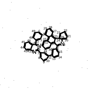 c1ccc(-c2nc(-c3cccc(-c4cccc(-c5nc6ccccc6c6c7ccccc7c7ccccc7c56)c4)c3)nc3ccccc23)cc1